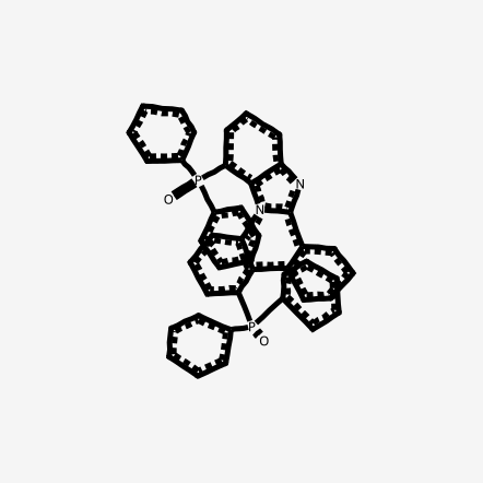 O=P(c1ccccc1)(c1ccccc1)c1cccc2c1c1ccccc1c1nc3cccc(P(=O)(c4ccccc4)c4ccccc4)c3n21